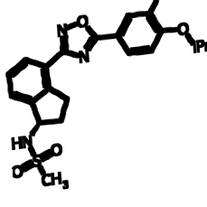 CC(C)Oc1ccc(-c2nc(-c3cccc4c3CC[C@H]4NS(C)(=O)=O)no2)cc1C#N